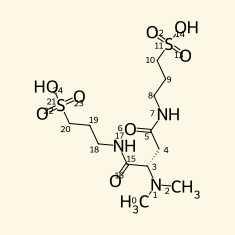 CN(C)[C@@H](CC(=O)NCCCS(=O)(=O)O)C(=O)NCCCS(=O)(=O)O